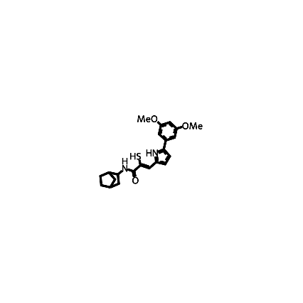 COc1cc(OC)cc(-c2ccc(/C=C(\S)C(=O)NC3CC4CCC3C4)[nH]2)c1